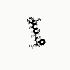 Cc1nc2ccccc2n1CC(=O)Nc1cncc(C(=O)c2cn(C(C)C)c3ncncc23)c1